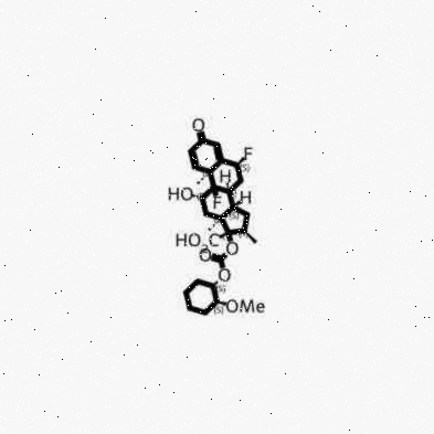 CO[C@H]1CCCC[C@@H]1OC(=O)O[C@@]1(C(=O)O)[C@H](C)C[C@H]2[C@@H]3C[C@H](F)C4=CC(=O)C=C[C@]4(C)C3(F)[C@@H](O)C[C@@]21C